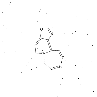 C1=Cc2c(ccc3ocnc23)CC=N1